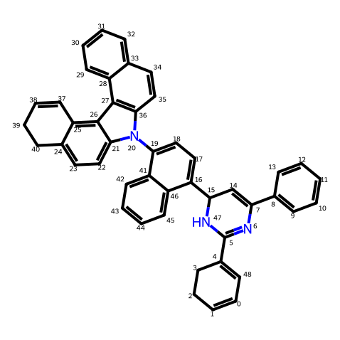 C1=CCCC(C2=NC(c3ccccc3)=CC(c3ccc(-n4c5ccc6c(c5c5c7ccccc7ccc54)C=CCC6)c4ccccc34)N2)=C1